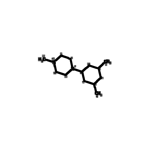 CC1[CH]C(C)CC(N2CCN(C)CC2)C1